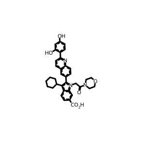 O=C(O)c1ccc2c(C3CCCCC3)c(-c3ccc4nc(-c5ccc(O)cc5O)ccc4c3)n(CC(=O)N3CCOCC3)c2c1